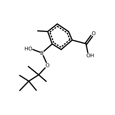 Cc1ccc(C(=O)O)cc1B(O)OC(C)(C)C(C)(C)C